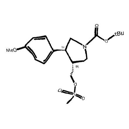 COc1ccc([C@H]2CN(C(=O)OC(C)(C)C)C[C@@H]2COS(C)(=O)=O)cc1